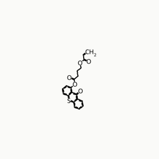 C=CC(=O)OCCCC(=O)Oc1cccc2sc3ccccc3c(=O)c12